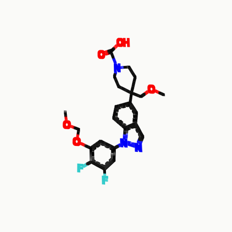 COCOc1cc(-n2ncc3cc(C4(COC)CCN(C(=O)O)CC4)ccc32)cc(F)c1F